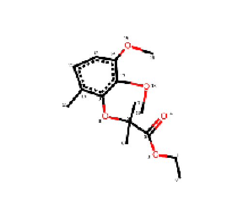 CCOC(=O)C(C)(C)Oc1c(C)ccc(OC)c1OC